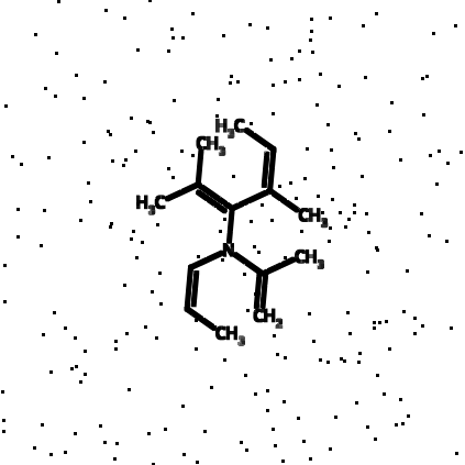 C=C(C)N(/C=C\C)C(=C(C)C)/C(C)=C\C